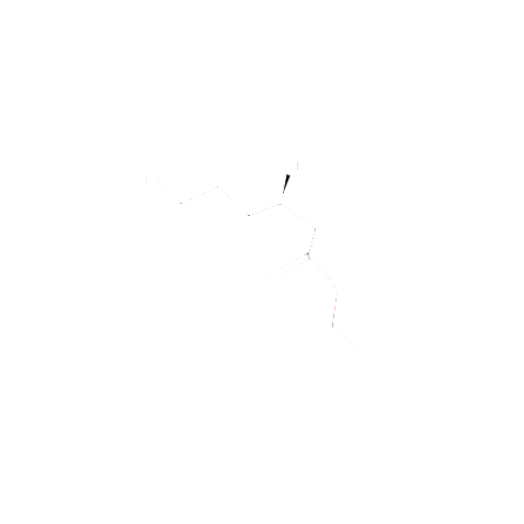 CCOC(=O)C[C@H](C)CCCO